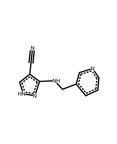 N#Cc1c[nH]nc1NCc1cccnc1